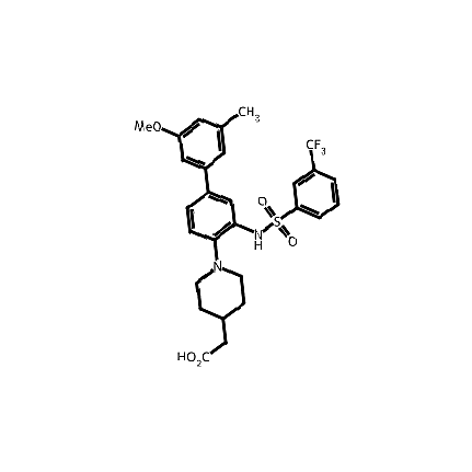 COc1cc(C)cc(-c2ccc(N3CCC(CC(=O)O)CC3)c(NS(=O)(=O)c3cccc(C(F)(F)F)c3)c2)c1